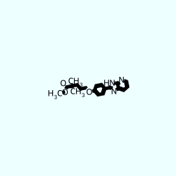 COC(=O)C(C)(C)CCCOc1ccc(-c2nc3cccnc3[nH]2)cc1